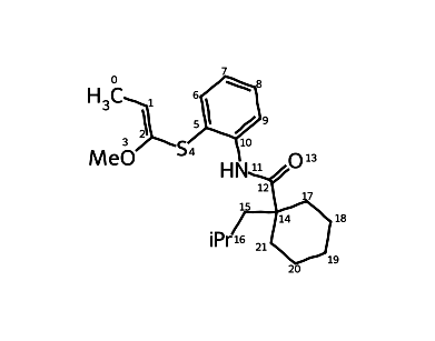 CC=C(OC)Sc1ccccc1NC(=O)C1(CC(C)C)CCCCC1